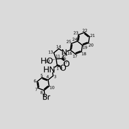 O=C(NCc1cccc(Br)c1)[C@@]1(O)CCN(c2ccc3ccccc3c2)C1=O